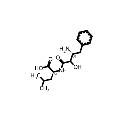 CC(C)C[C@H](NC(=O)C(O)[C@H](N)Cc1ccccc1)C(=O)O